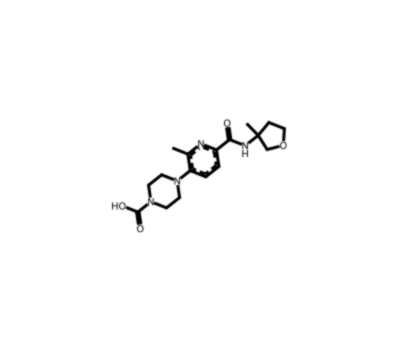 Cc1nc(C(=O)NC2(C)CCOC2)ccc1N1CCN(C(=O)O)CC1